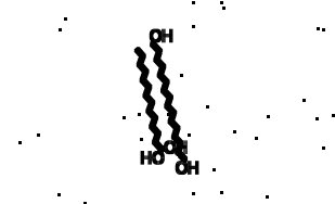 CCCCCCCCCCCCCC(O)O.OCCCCCCCCCCCCCCCCO